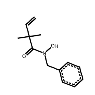 C=CC(C)(C)C(=O)N(O)Cc1ccccc1